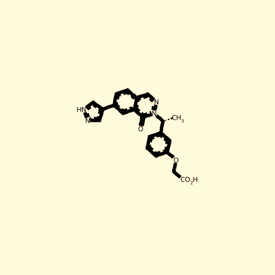 C[C@H](c1cccc(OCC(=O)O)c1)n1ncc2ccc(-c3cn[nH]c3)cc2c1=O